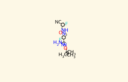 C[Si](C)(C)CCOCn1cc(-c2cc3c(cc2F)N(C(=O)NCc2cc(F)cc(C#N)c2)CC3)c(N)n1